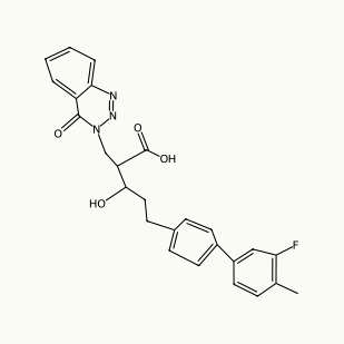 Cc1ccc(-c2ccc(CCC(O)C(Cn3nnc4ccccc4c3=O)C(=O)O)cc2)cc1F